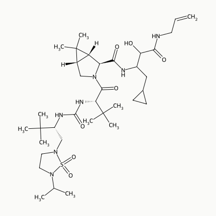 C=CCNC(=O)C(O)C(CC1CC1)NC(=O)[C@@H]1[C@@H]2[C@H](CN1C(=O)[C@@H](NC(=O)N[C@H](CN1CCN(C(C)C)S1(=O)=O)C(C)(C)C)C(C)(C)C)C2(C)C